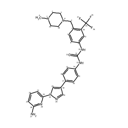 CN1CCN(Cc2ccc(NC(=O)Nc3ccc(-c4cnn(-c5cccc(N)n5)c4)cc3)cc2C(F)(F)F)CC1